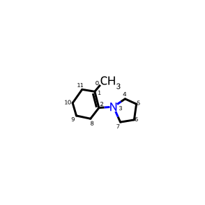 CC1=C(N2CCCC2)CCCC1